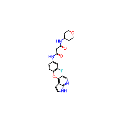 O=C(CC(=O)NC1CCOCC1)Nc1ccc(Oc2ccnc3[nH]ccc23)c(F)c1